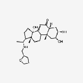 CC(NCC1CCCO1)C1CC[C@@]2(O)C3=CC(=O)[C@@H]4C[C@@H](O)[C@@H](O)C[C@]4(C)C3CC[C@]12C